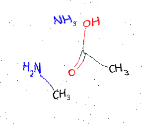 CC(=O)O.CN.N